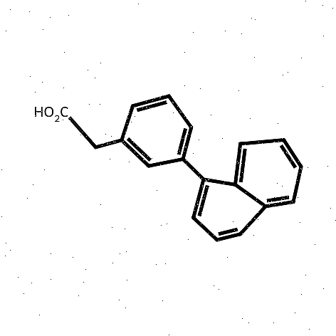 O=C(O)Cc1cccc(-c2cccc3ccccc23)c1